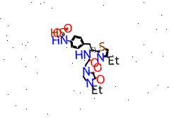 CCc1csc([C@H](Cc2ccc(N[SH](=O)=O)cc2)NC(=O)CN2CCN(CC)C(=O)C2=O)n1